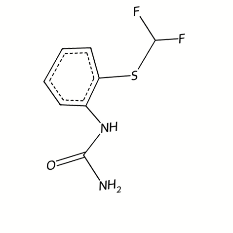 NC(=O)Nc1ccccc1SC(F)F